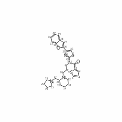 O=C(c1cccs1)N(CCCN1CCCCC1CN1CCCC1)c1nc(-c2cc3ccccc3o2)cs1